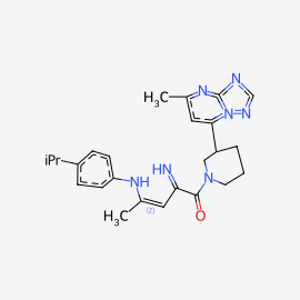 C/C(=C/C(=N)C(=O)N1CCCC(c2cc(C)nc3ncnn23)C1)Nc1ccc(C(C)C)cc1